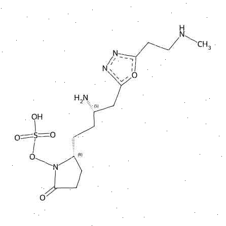 CNCCc1nnc(C[C@@H](N)CC[C@@H]2CCC(=O)N2OS(=O)(=O)O)o1